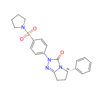 O=c1n(-c2ccc(S(=O)(=O)N3CCCC3)cc2)nc2n1[C@H](c1ccccc1)CC2